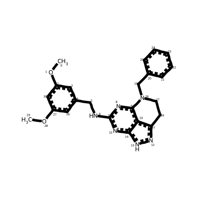 COc1cc(CNc2nc3c4c(n[nH]c4n2)CCN3Cc2ccccc2)cc(OC)c1